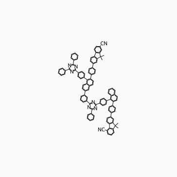 CC1(C)c2cc(C#N)ccc2-c2ccc(-c3ccc(-c4ccc5cc(-c6cccc(-c7nc(-c8ccccc8)nc(-c8ccc(-c9c(-c%10ccc(-c%11ccc%12c(c%11)C(C)(C)c%11cccc(C#N)c%11-%12)cc%10)ccc%10ccccc9%10)cc8)n7)c6)ccc5c4-c4ccc(-c5nc(-c6ccccc6)nc(-c6ccccc6)n5)cc4)cc3)cc21